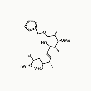 CCCOC(CC)C[C@H](OC)[C@@H](C)/C=C/[C@@H](O)[C@H](C)[C@H](OC)[C@H](C)COCc1ccccc1